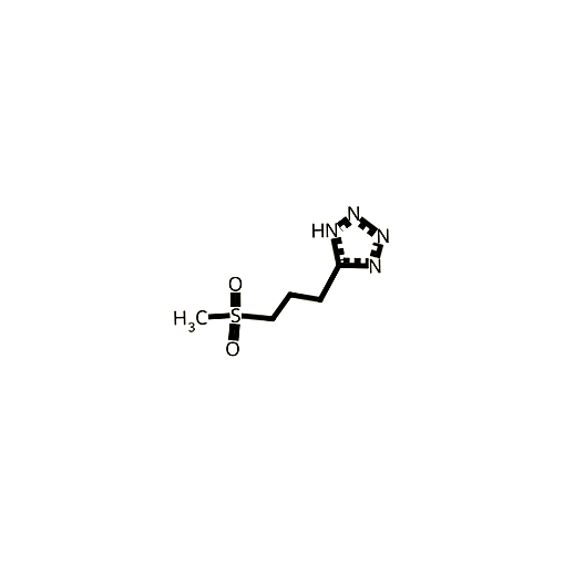 CS(=O)(=O)CCCc1nnn[nH]1